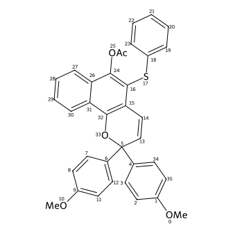 COc1ccc(C2(c3ccc(OC)cc3)C=Cc3c(Sc4ccccc4)c(OC(C)=O)c4ccccc4c3O2)cc1